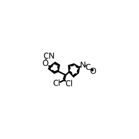 N#COc1ccc(C(=C(Cl)Cl)c2ccc(N=C=O)cc2)cc1